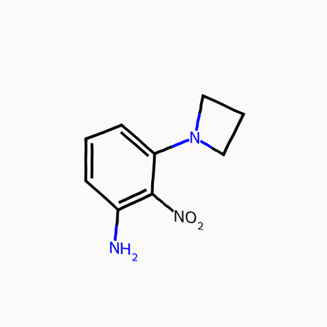 Nc1cccc(N2CCC2)c1[N+](=O)[O-]